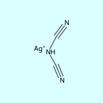 N#CNC#N.[Ag+]